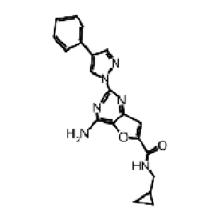 Nc1nc(-n2cc(-c3ccccc3)cn2)nc2cc(C(=O)NCC3CC3)oc12